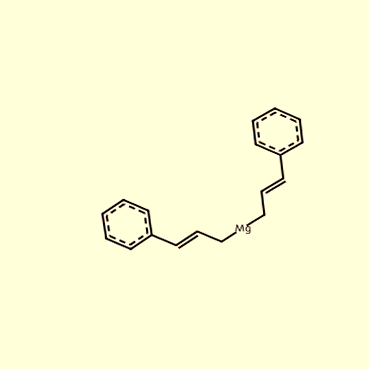 C(=Cc1ccccc1)[CH2][Mg][CH2]C=Cc1ccccc1